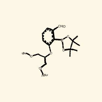 CCCCOCC(COCCCC)Oc1cccc(C=O)c1B1OC(C)(C)C(C)(C)O1